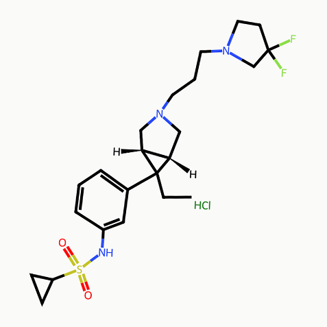 CCC1(c2cccc(NS(=O)(=O)C3CC3)c2)[C@@H]2CN(CCCN3CCC(F)(F)C3)C[C@@H]21.Cl